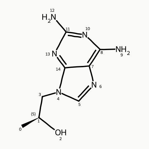 C[C@H](O)Cn1cnc2c(N)nc(N)nc21